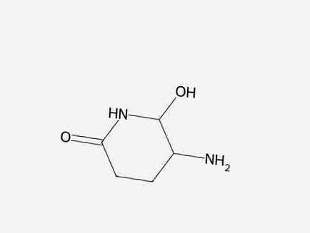 NC1CCC(=O)NC1O